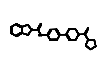 O=C(Nc1ccc(C2=CCN(C(=O)C3CCCC3)CC2)cc1)N1Cc2ccccc2C1